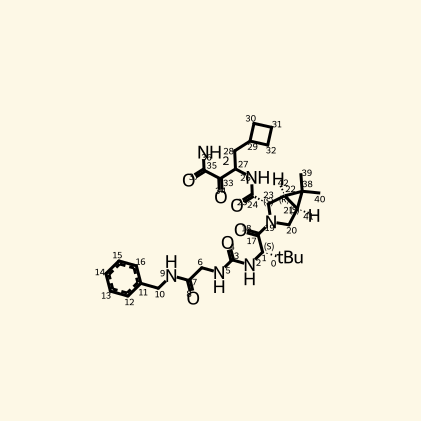 CC(C)(C)[C@H](NC(=O)NCC(=O)NCc1ccccc1)C(=O)N1C[C@H]2[C@@H]([C@H]1C(=O)NC(CC1CCC1)C(=O)C(N)=O)C2(C)C